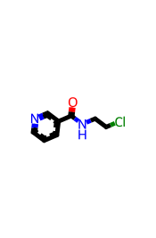 O=C(NCCCl)c1cccnc1